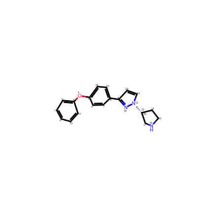 c1ccc(Oc2ccc(-c3ccn([C@@H]4CCNC4)n3)cc2)cc1